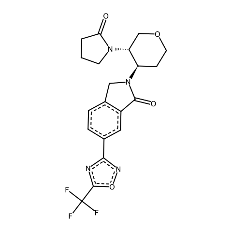 O=C1CCCN1[C@@H]1COCC[C@H]1N1Cc2ccc(-c3noc(C(F)(F)F)n3)cc2C1=O